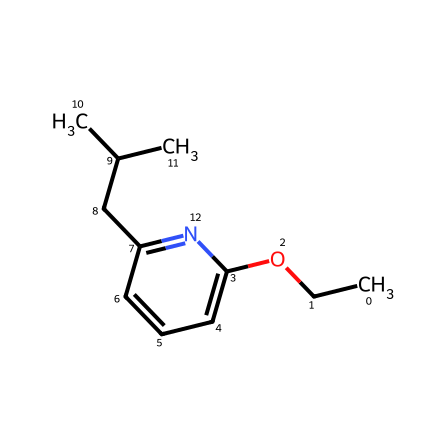 CCOc1cccc(CC(C)C)n1